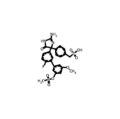 COc1cc(OS(C)(=O)=O)cc(-c2cc(C3(c4ccc(CS(=O)(=O)O)cc4)N=C(N)NC3=O)ccc2F)c1